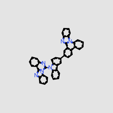 c1ccc2c(c1)nc(-n1c3ccccc3c3cc(-c4ccc5c6ccccc6n6c7ccccc7nc6c5c4)ccc31)n1c3ccccc3nc21